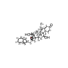 C[C@]12C=CC(=O)C=C1[C@@H](F)C[C@H]1[C@@H]3C[C@H]4CN(Cc5cc6ccccc6s5)C[C@@]4(C(=O)CO)[C@@]3(C)C[C@H](O)[C@@]12F